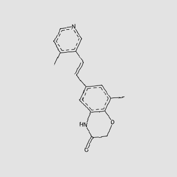 Cc1ccncc1C=Cc1cc(C)c2c(c1)NC(=O)CO2